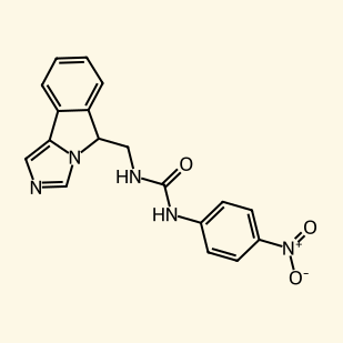 O=C(NCC1c2ccccc2-c2cncn21)Nc1ccc([N+](=O)[O-])cc1